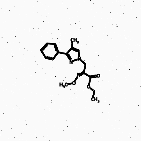 CCOC(=O)C(Cn1cc(C)c(-c2ccccc2)n1)=NOC